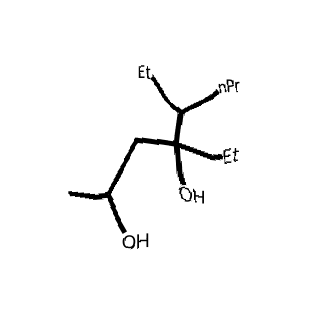 CCCC(CC)C(O)(CC)CC(C)O